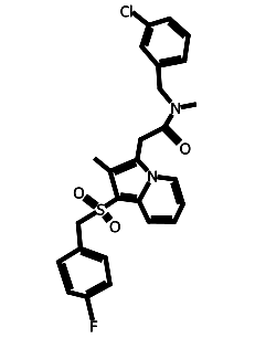 Cc1c(S(=O)(=O)Cc2ccc(F)cc2)c2ccccn2c1CC(=O)N(C)Cc1cccc(Cl)c1